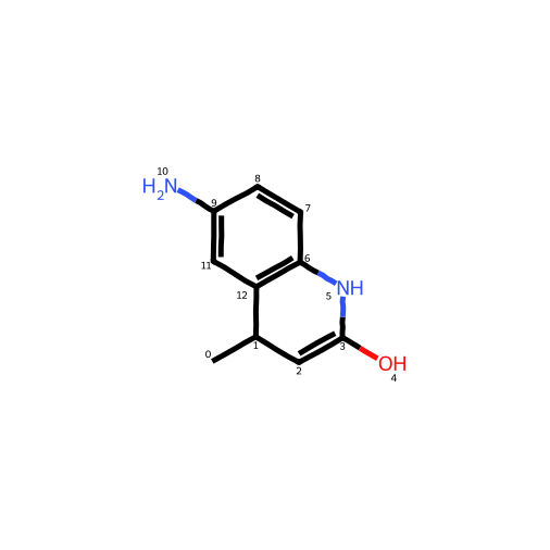 CC1C=C(O)Nc2ccc(N)cc21